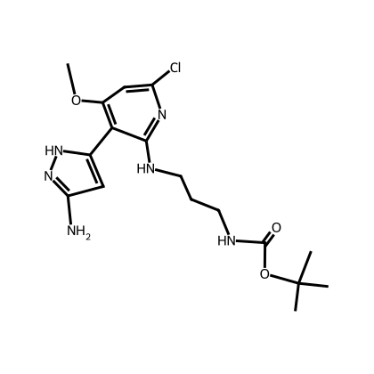 COc1cc(Cl)nc(NCCCNC(=O)OC(C)(C)C)c1-c1cc(N)n[nH]1